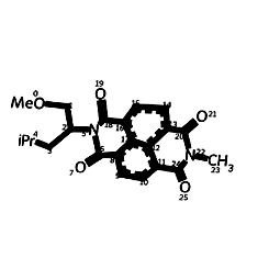 COCC(CC(C)C)N1C(=O)c2ccc3c4c(ccc(c24)C1=O)C(=O)N(C)C3=O